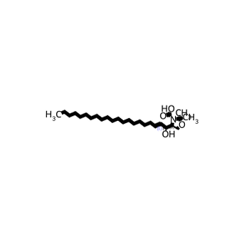 CCCCCCCCCCCCCCCCCC/C=C/[C@@H](O)[C@@H]1COC(C)(C)N1C(=O)O